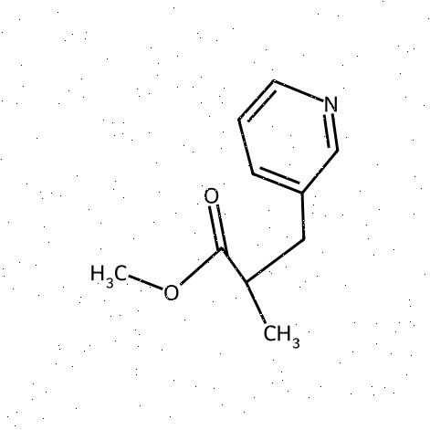 COC(=O)C(C)Cc1cccnc1